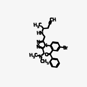 C#CCC(C)NCc1nnc(CN(C)C)n1-c1ccc(Br)cc1C(=O)c1ccccc1